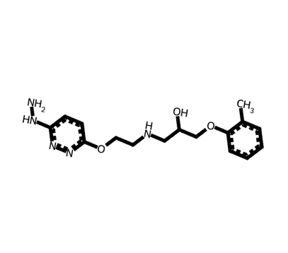 Cc1ccccc1OCC(O)CNCCOc1ccc(NN)nn1